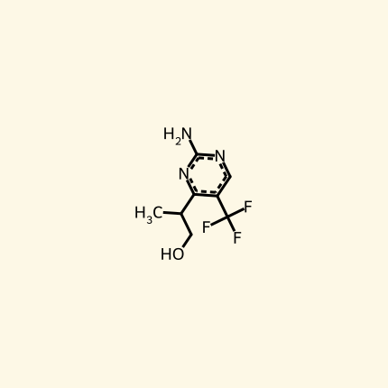 CC(CO)c1nc(N)ncc1C(F)(F)F